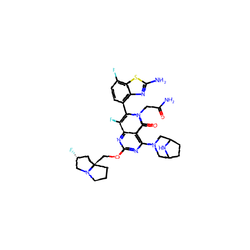 NC(=O)Cn1c(-c2ccc(F)c3sc(N)nc23)c(F)c2nc(OC[C@@]34CCCN3C[C@H](F)C4)nc(N3CC4CCC(C3)N4)c2c1=O